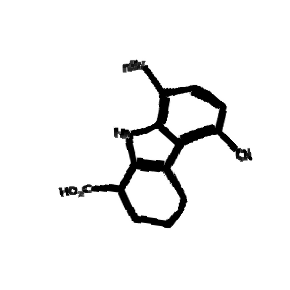 CCCCc1ccc(C#N)c2c3c([nH]c12)C(C(=O)O)CCC3